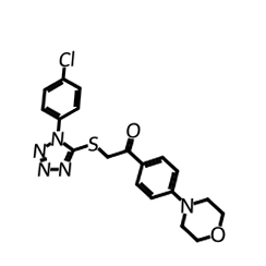 O=C(CSc1nnnn1-c1ccc(Cl)cc1)c1ccc(N2CCOCC2)cc1